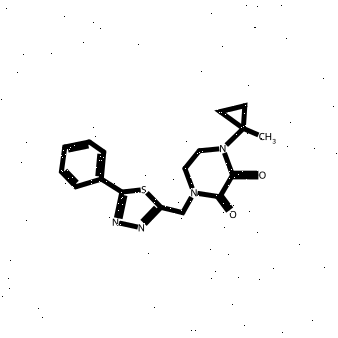 CC1(N2CCN(Cc3nnc(-c4ccccc4)s3)C(=O)C2=O)CC1